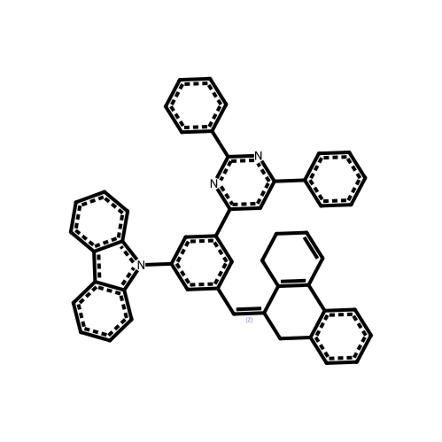 C1=CC2=C(CC1)/C(=C\c1cc(-c3cc(-c4ccccc4)nc(-c4ccccc4)n3)cc(-n3c4ccccc4c4ccccc43)c1)Cc1ccccc12